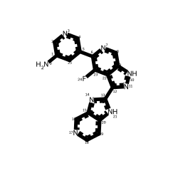 Nc1cncc(-c2ncc3[nH]nc(-c4nc5cnccc5[nH]4)c3c2F)c1